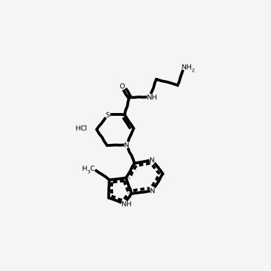 Cc1c[nH]c2ncnc(N3C=C(C(=O)NCCN)SCC3)c12.Cl